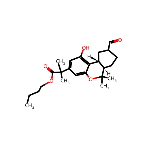 CCCCOC(=O)C(C)(C)c1cc(O)c2c(c1)OC(C)(C)[C@@H]1CCC(C=O)C[C@@H]21